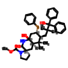 CC(C)(C)OC(=O)N1CCC[C@]12C[C@@H]1C(C)(C)[C@H](CC(C)(C)[Si](O)(c3ccccc3)c3ccccc3)[C@@H](Sc3ccccc3)C[C@@]1(O)NC2=O